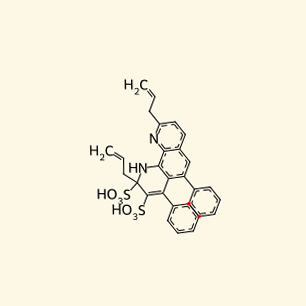 C=CCc1ccc2cc(-c3ccccc3)c3c(c2n1)NC(CC=C)(S(=O)(=O)O)C(S(=O)(=O)O)=C3c1ccccc1